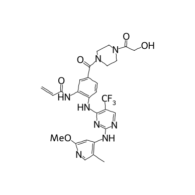 C=CC(=O)Nc1cc(C(=O)N2CCN(C(=O)CO)CC2)ccc1Nc1nc(Nc2cc(OC)ncc2C)ncc1C(F)(F)F